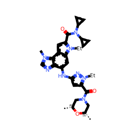 CCn1nc(Nc2cc3c(cc(C(=O)N(C4CC4)C4CC4)n3CC)c3c2ncn3C)cc1C(=O)N1C[C@@H](C)O[C@@H](C)C1